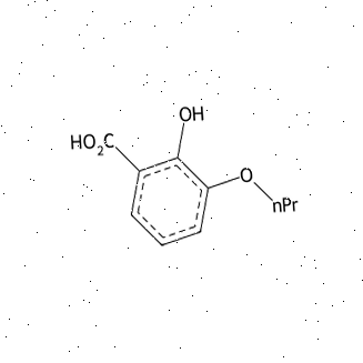 CCCOc1cccc(C(=O)O)c1O